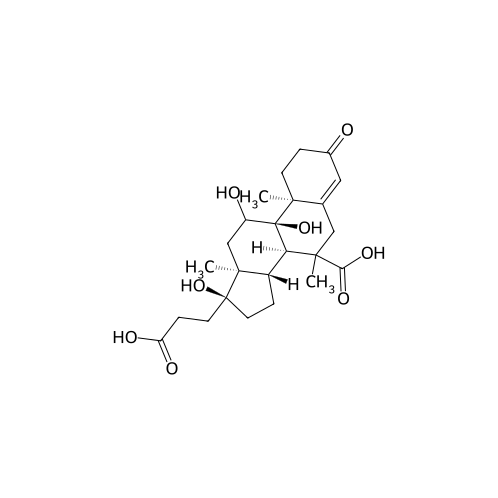 CC1(C(=O)O)CC2=CC(=O)CC[C@]2(C)[C@@]2(O)C(O)C[C@@]3(C)[C@@H](CC[C@]3(O)CCC(=O)O)[C@H]12